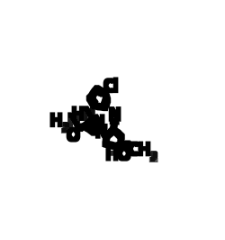 C=CC1(O)CCC(n2cc(C(N)=O)c(Nc3ccc(Cl)cc3)n2)C(C#N)C1